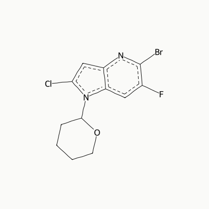 Fc1cc2c(cc(Cl)n2C2CCCCO2)nc1Br